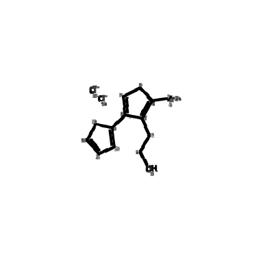 OCCC1=[C]([Zr+2])CC=C1C1=CC=CC1.[Cl-].[Cl-]